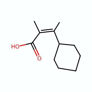 C/C(C(=O)O)=C(\C)C1CCCCC1